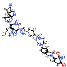 N#Cc1cnc2c(cnn2-c2cc(NC3CCCC3)c(-n3cc(C4CCC(CN5CCN(c6ccc7c(c6)C(=O)N(C6CCC(=O)NC6=O)C7)CC5)CC4)nn3)cn2)c1